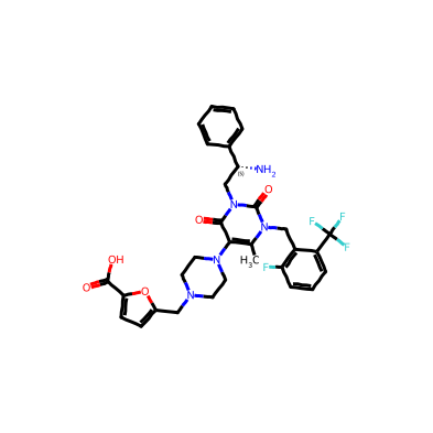 Cc1c(N2CCN(Cc3ccc(C(=O)O)o3)CC2)c(=O)n(C[C@@H](N)c2ccccc2)c(=O)n1Cc1c(F)cccc1C(F)(F)F